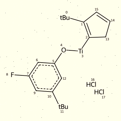 CC(C)(C)C1=[C]([Ti][O]c2cc(F)cc(C(C)(C)C)c2)CC=C1.Cl.Cl